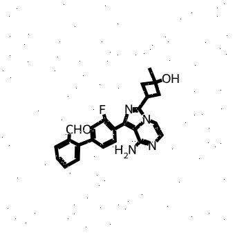 CC1(O)CC(c2nc(-c3ccc(-c4ccccc4C=O)cc3F)c3c(N)nccn23)C1